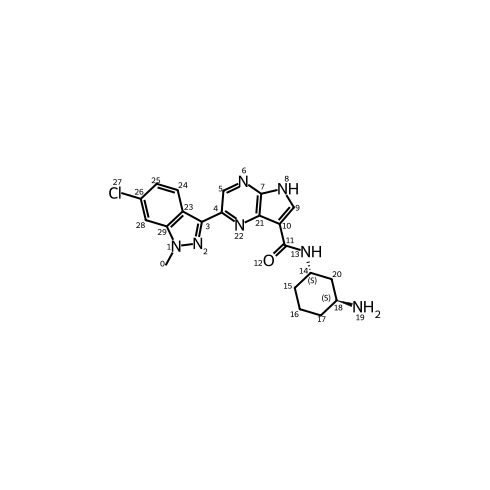 Cn1nc(-c2cnc3[nH]cc(C(=O)N[C@H]4CCC[C@H](N)C4)c3n2)c2ccc(Cl)cc21